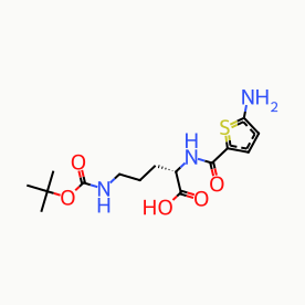 CC(C)(C)OC(=O)NCCC[C@H](NC(=O)c1ccc(N)s1)C(=O)O